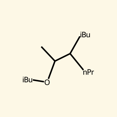 CCCC(C(C)CC)C(C)OC(C)CC